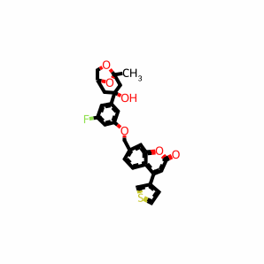 CC12CC(O)(c3cc(F)cc(OCc4ccc5c(-c6ccsc6)cc(=O)oc5c4)c3)CC(CO1)O2